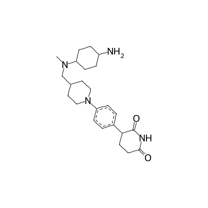 CN(CC1CCN(c2ccc(C3CCC(=O)NC3=O)cc2)CC1)C1CCC(N)CC1